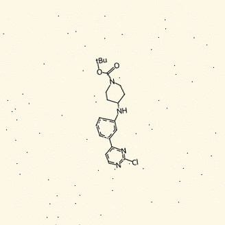 CC(C)(C)OC(=O)N1CCC(Nc2cccc(-c3ccnc(Cl)n3)c2)CC1